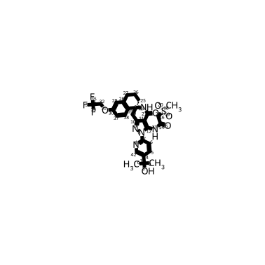 CC(C)(O)c1ccc(-n2nc3c(c2NC(=O)CS(C)(=O)=O)C(=O)N[C@@]2(CCCc4cc(OCC(F)(F)F)ccc42)C3)nc1